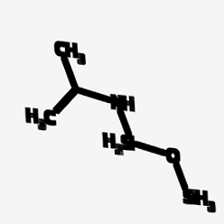 CC(C)N[SiH2]O[SiH3]